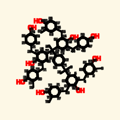 Cc1cc(Cc2cc(C(C)(C)c3ccc(C(C)(c4cc(Cc5ccc(O)cc5)c(O)c(Cc5ccc(O)c(C)c5)c4)c4cc(Cc5ccc(O)cc5)c(O)c(Cc5ccc(O)c(C)c5)c4)cc3)cc(Cc3ccc(O)c(C)c3)c2O)ccc1O